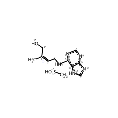 C/C(=C/CNc1ncnc2nc[nH]c12)CO.CS(=O)(=O)O